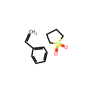 C=Cc1ccccc1.O=S1(=O)CCCC1